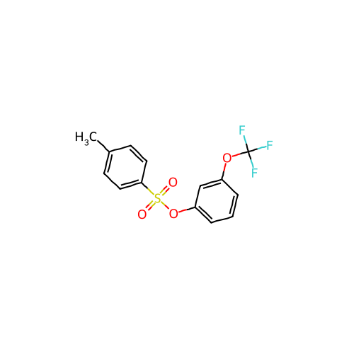 Cc1ccc(S(=O)(=O)Oc2cccc(OC(F)(F)F)c2)cc1